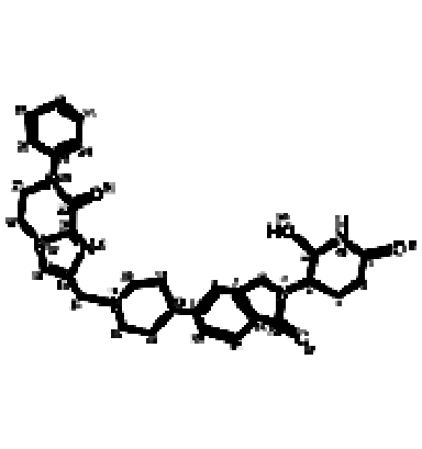 O=C1CCC(N2Cc3cc(C4CCN(Cc5cn6c(n5)C(=O)N(c5ccccc5)CC6)CC4)ccc3C2=O)C(O)N1